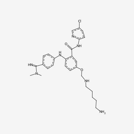 CN(C)C(=N)c1ccc(Nc2ccc(OCNCCCCCN)cc2C(=O)Nc2ccc(Cl)cn2)cc1